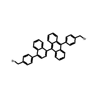 BrCc1ccc(-c2ccc(-c3c4ccccc4c(-c4ccc(CBr)cc4)c4ccccc34)c3ccccc23)cc1